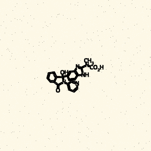 CN(C(=O)O)c1nc2cc(C3(O)c4ccccc4C(=O)N3c3cccnc3)ccc2[nH]1